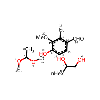 CCCCCCC(O)CO.CCOC(C)OCC.CCc1c(C=O)ccc(O)c1OC